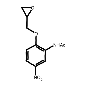 CC(=O)Nc1cc([N+](=O)[O-])ccc1OCC1CO1